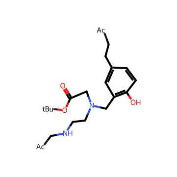 CC(=O)CCc1ccc(O)c(CN(CCNCC(C)=O)CC(=O)OC(C)(C)C)c1